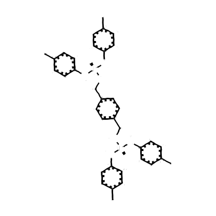 Cc1ccc(OP(=O)(OCc2ccc(COP(=O)(Oc3ccc(C)cc3)Oc3ccc(C)cc3)cc2)Oc2ccc(C)cc2)cc1